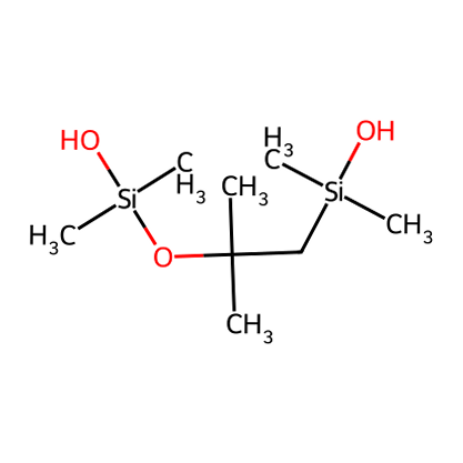 CC(C)(C[Si](C)(C)O)O[Si](C)(C)O